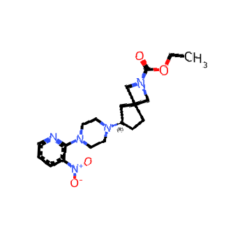 CCOC(=O)N1CC2(CC[C@@H](N3CCN(c4ncccc4[N+](=O)[O-])CC3)C2)C1